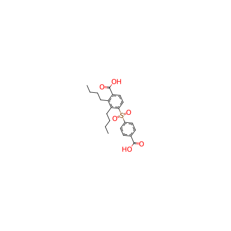 CCCCc1c(C(=O)O)ccc(S(=O)(=O)c2ccc(C(=O)O)cc2)c1CCCC